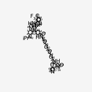 CC(C)N(C)[C@@H]1CC[C@H](N2CC[C@H](Nc3ncnc4ccc(C(F)(F)F)cc34)C2=O)[C@H](NC2CCC(C(=O)NCCOCCOCCOCCOCCNC(=O)[C@H]3CC(=O)N(C)[C@@H]3c3cccnc3)CC2)C1